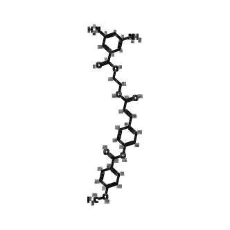 Nc1cc(N)cc(C(=O)OCCOC(=O)C=Cc2ccc(OC(=O)c3ccc(OC(F)(F)F)cc3)cc2)c1